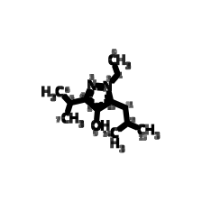 CCn1nc(C(C)C)c(O)c1CC(C)C